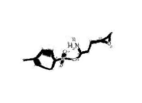 Cc1ccc(S(=O)(=O)OC(N)CCC2CO2)cc1